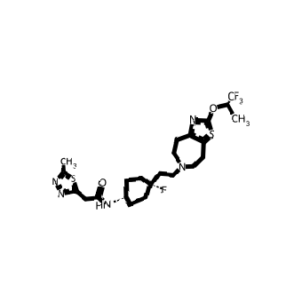 Cc1nnc(CC(=O)N[C@H]2CC[C@](F)(CCN3CCc4nc(O[C@H](C)C(F)(F)F)sc4CC3)CC2)s1